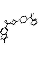 Cc1nc2cc(C(=O)N3CC(N4CCN(C(=O)c5nccs5)CC4)C3)ccc2s1